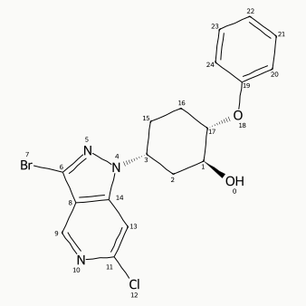 O[C@H]1C[C@H](n2nc(Br)c3cnc(Cl)cc32)CC[C@@H]1Oc1ccccc1